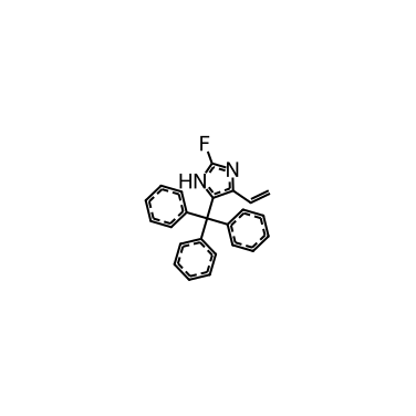 C=Cc1nc(F)[nH]c1C(c1ccccc1)(c1ccccc1)c1ccccc1